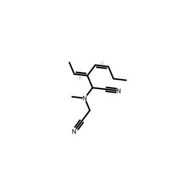 C/C=C(\C=C/CC)C(C#N)N(C)CC#N